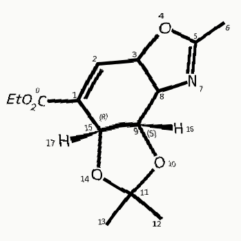 CCOC(=O)C1=CC2OC(C)=NC2[C@@H]2OC(C)(C)O[C@H]12